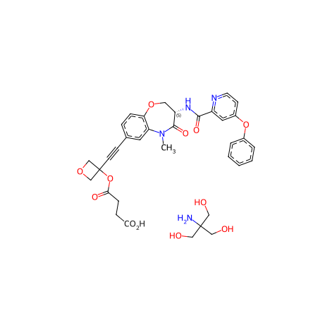 CN1C(=O)[C@@H](NC(=O)c2cc(Oc3ccccc3)ccn2)COc2ccc(C#CC3(OC(=O)CCC(=O)O)COC3)cc21.NC(CO)(CO)CO